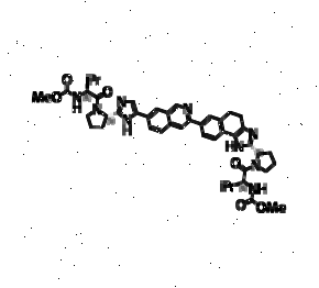 COC(=O)N[C@H](C(=O)N1CCC[C@H]1c1ncc(-c2ccc3cc(-c4ccc5c(c4)CCc4nc([C@@H]6CCCN6C(=O)[C@@H](NC(=O)OC)C(C)C)[nH]c4-5)ncc3c2)[nH]1)C(C)C